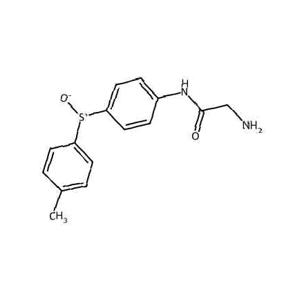 Cc1ccc([S+]([O-])c2ccc(NC(=O)CN)cc2)cc1